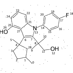 CC1CCC(C)(c2c(C(C)(C)CO)n(-c3ccc(F)cc3)c3cccc(O)c23)C1